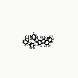 Cc1cccc2c1oc1c(N(c3ccccc3)c3ccc4c(c3)C(C)(C)c3c-4ccc4ccccc34)cccc12